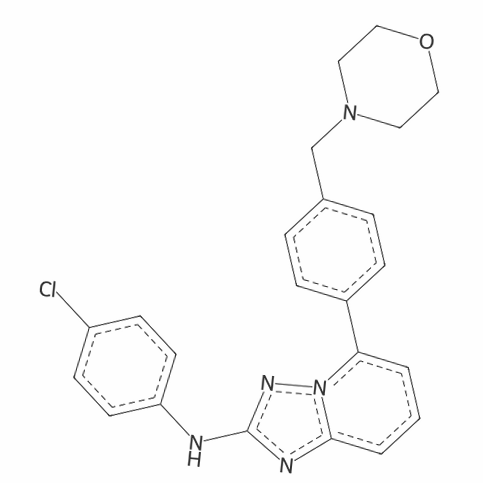 Clc1ccc(Nc2nc3cccc(-c4ccc(CN5CCOCC5)cc4)n3n2)cc1